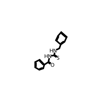 O=C(NC(=S)NCc1ccccc1)c1ccccc1